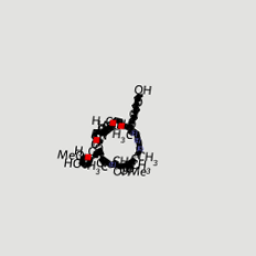 CO[C@@H]1C[C@H](C[C@@H](C)[C@@H]2CC(=O)[C@H](C)/C=C(\C)[C@H](O)[C@@H](OC)C(=O)[C@H](C)C[C@H](C)/C=C/C=C/C=C(\C)C(OCCOCCOCCO)C[C@@H]3CC[C@@H](C)[C@@](O)(O3)C(=O)C(=O)N3CCCC[C@H]3C(=O)O2)CC[C@H]1O